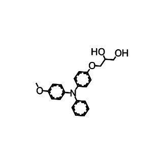 COc1ccc(N(c2ccccc2)c2ccc(OCC(O)CO)cc2)cc1